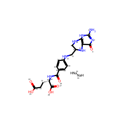 Nc1nc(=O)c2c([nH]1)NCC(CNc1ccc(C(=O)N[C@@H](CCC(=O)O)C(=O)O)cc1)N2.[NaH].[NaH]